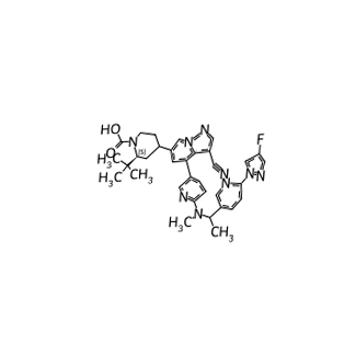 CC(c1ccc(-n2cc(F)cn2)nc1)N(C)c1ccc(-c2cc(C3CCN(C(=O)O)[C@H](C(C)(C)C)C3)cn3ncc(C#N)c23)cn1